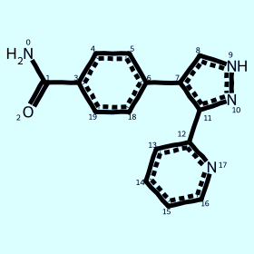 NC(=O)c1ccc(-c2c[nH]nc2-c2ccccn2)cc1